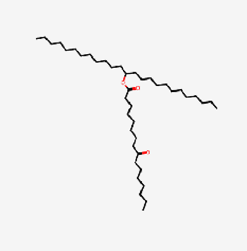 CCCCCCCCCCCCC(CCCCCCCCCCCC)OC(=O)CCCCCCCC(=O)CCCCCCC